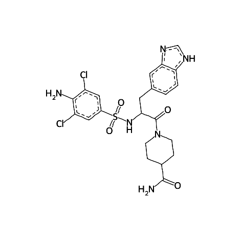 NC(=O)C1CCN(C(=O)C(Cc2ccc3[nH]cnc3c2)NS(=O)(=O)c2cc(Cl)c(N)c(Cl)c2)CC1